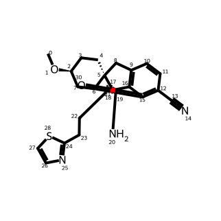 CO[C@H]1CC[C@]2(CC1)Cc1ccc(C#N)cc1C21C=C(N)N(CCc2nccs2)C1=O